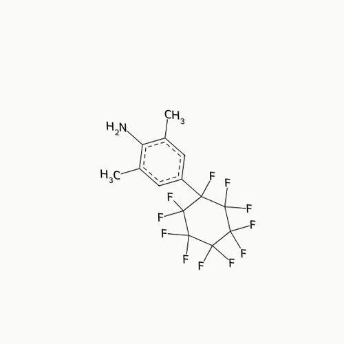 Cc1cc(C2(F)C(F)(F)C(F)(F)C(F)(F)C(F)(F)C2(F)F)cc(C)c1N